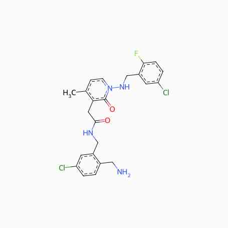 Cc1ccn(NCc2cc(Cl)ccc2F)c(=O)c1CC(=O)NCc1cc(Cl)ccc1CN